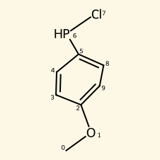 COc1ccc(PCl)cc1